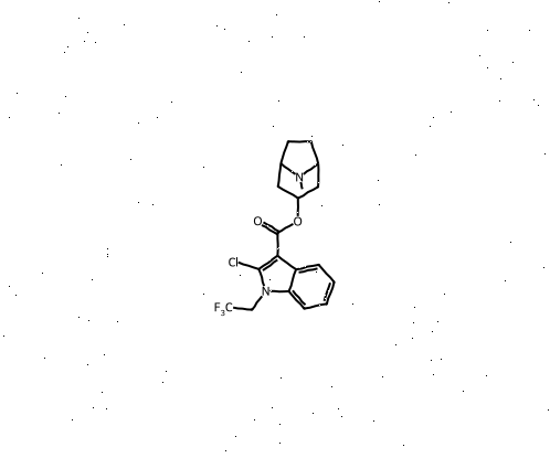 CN1C2CCC1CC(OC(=O)c1c(Cl)n(CC(F)(F)F)c3ccccc13)C2